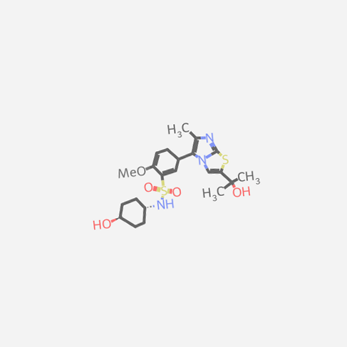 COC1=CCC(c2c(C)nc3sc(C(C)(C)O)cn23)C=C1S(=O)(=O)N[C@H]1CC[C@H](O)CC1